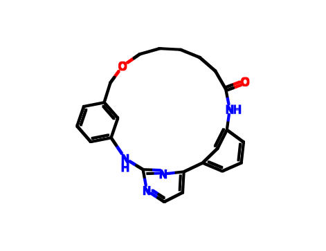 O=C1CCCCCOCc2cccc(c2)Nc2nccc(n2)-c2cccc(c2)N1